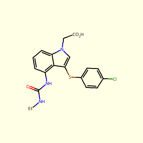 CCNC(=O)Nc1cccc2c1c(Sc1ccc(Cl)cc1)cn2CC(=O)O